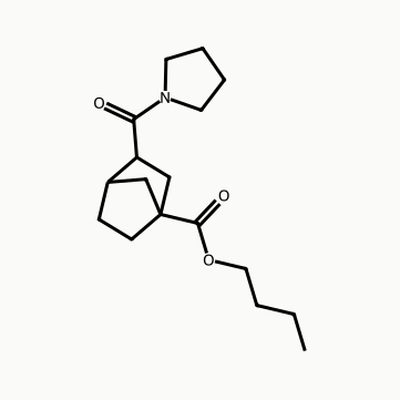 CCCCOC(=O)C12CCC(C1)C(C(=O)N1CCCC1)C2